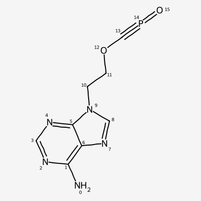 Nc1ncnc2c1ncn2CCOC#P=O